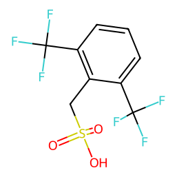 O=S(=O)(O)Cc1c(C(F)(F)F)cccc1C(F)(F)F